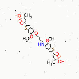 COc1cc2sc(C(=O)C[C@H](C)C(=O)O)cc2cc1NCCCCOc1cc2cc(C(=O)C[C@H](C)C(=O)O)sc2cc1OC